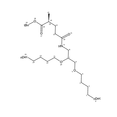 CCCCCCCCCCCCCCOCC(CNC(=O)CC[C@H](C)C(=O)OC(C)(C)C)OCCCCCCCCCCCCCC